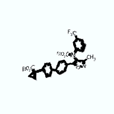 CCOC(=O)N(c1cccc(C(F)(F)F)c1)c1c(C)noc1-c1ccc(-c2ccc(C3(C(=O)OCC)CC3)cc2)cc1